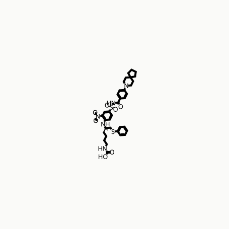 O=C(O)NCCCC[C@H](CSc1ccccc1)Nc1ccc(S(=O)(=O)NC(=O)c2ccc(N3CCC4(CCCC4)CC3)cc2)cc1[N+](=O)[O-]